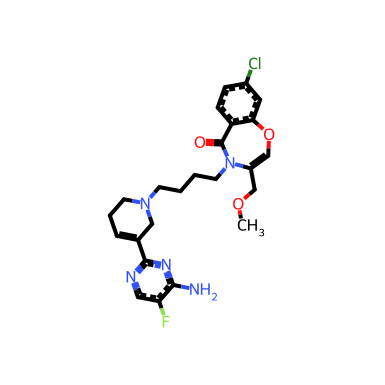 COCC1=COc2cc(Cl)ccc2C(=O)N1CCCCN1CCC=C(c2ncc(F)c(N)n2)C1